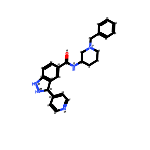 O=C(NC1CCCN(Cc2ccccc2)C1)c1ccc2c(c1)C(c1ccncc1)NN2